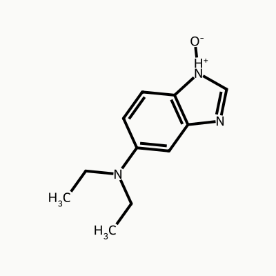 CCN(CC)c1ccc2c(c1)N=C[NH+]2[O-]